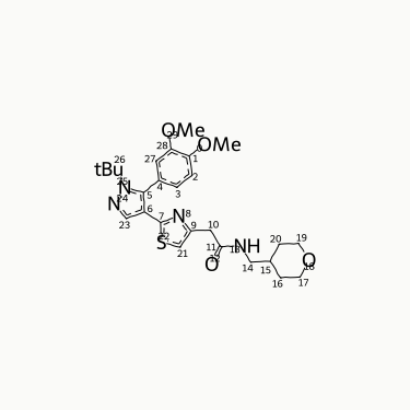 COc1ccc(-c2c(-c3nc(CC(=O)NCC4CCOCC4)cs3)cnn2C(C)(C)C)cc1OC